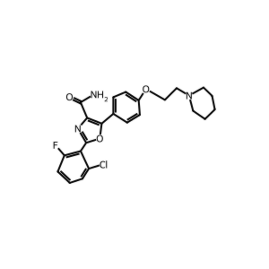 NC(=O)c1nc(-c2c(F)cccc2Cl)oc1-c1ccc(OCCN2CCCCC2)cc1